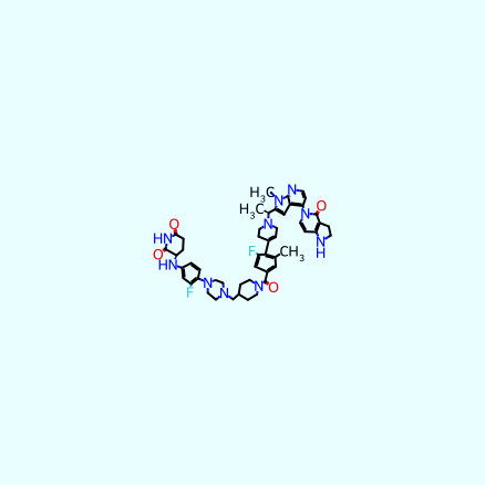 Cc1cc(C(=O)N2CCC(CN3CCN(c4ccc(N[C@@H]5CCC(=O)NC5=O)cc4F)CC3)CC2)cc(F)c1C1=CCN([C@@H](C)c2cc3c(-n4ccc5c(c4=O)CCN5)ccnc3n2C)CC1